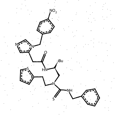 CC[C@H](C)[C@@H](CN(CCc1cccs1)C(=S)NCc1ccccc1)NC(=O)Cc1cncn1Cc1ccc([N+](=O)[O-])cc1